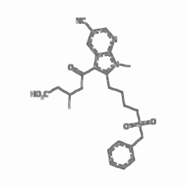 CC(CC(=O)O)CC(=O)c1c(CCCCS(=O)(=O)Cc2ccccc2)n(C)c2ncc(C#N)cc12